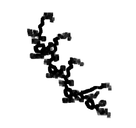 COc1ccc(NC(=O)[C@H](CCCCN)NC(=O)c2cc(NC(=O)[C@H](CCCCN)NC(=O)c3cc(NC(=O)[C@@H](N)CCCCN)ccc3OC)ccc2OC)cc1C(=O)N[C@@H](CCCCN)C(=O)Nc1cccc(C(N)=O)c1